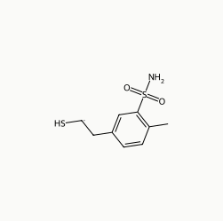 Cc1ccc(C[CH]S)cc1S(N)(=O)=O